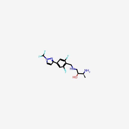 C[C@H](N)[C@@H](O)CNCc1c(F)cc(-c2ccn(C(F)F)n2)cc1F